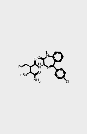 CCCC[C@H](C(N)=O)[C@@H](CC(C)C)C(=O)N[C@H]1N=C(c2ccc(Cl)cc2)c2ccccc2N(C)C1=O